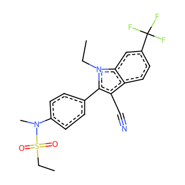 CCn1c(-c2ccc(N(C)S(=O)(=O)CC)cc2)c(C#N)c2ccc(C(F)(F)F)cc21